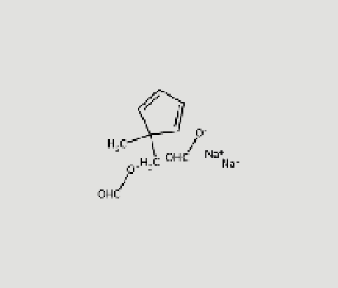 CC1(C)C=CC=C1.O=C[O-].O=C[O-].[Na+].[Na+]